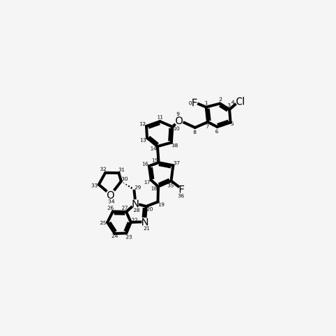 Fc1cc(Cl)ccc1COc1cccc(-c2ccc(Cc3nc4ccccc4n3C[C@H]3CCCO3)c(F)c2)c1